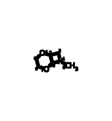 CN1CC2OCCOC21